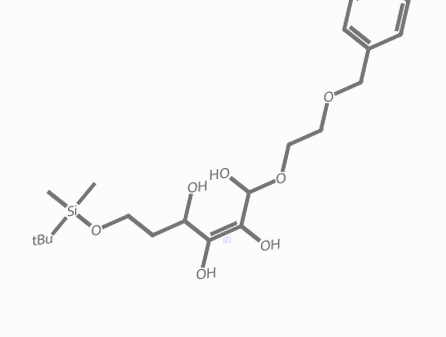 CC(C)(C)[Si](C)(C)OCCC(O)/C(O)=C(/O)C(O)OCCOCc1ccccc1